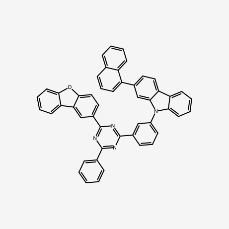 c1ccc(-c2nc(-c3cccc(-n4c5ccccc5c5ccc(-c6cccc7ccccc67)cc54)c3)nc(-c3ccc4oc5ccccc5c4c3)n2)cc1